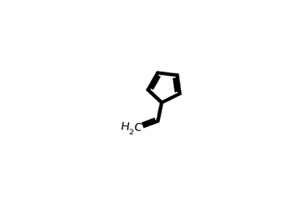 C=CC1C=CC=C1